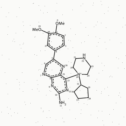 COc1ccc(-c2cnc3nc(N)nc([N+]4(C5CCCC5)CCNCC4)c3n2)cc1OC